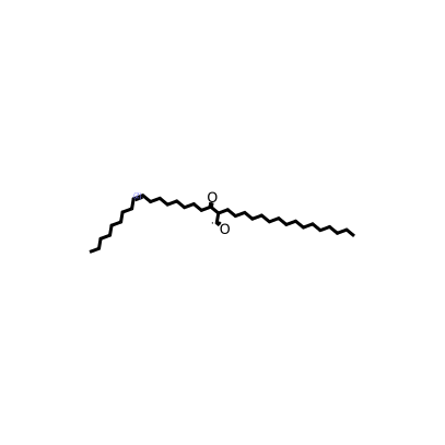 CCCCCCCC/C=C\CCCCCCCC(=O)C([C]=O)CCCCCCCCCCCCCCCC